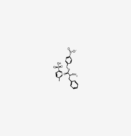 Cc1ccc(S(=O)(=O)O)cc1.NC(Cc1ccccc1)C(=O)OCc1ccc([N+](=O)[O-])cc1